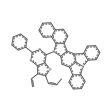 C=Cc1c(/C=C\C)oc2c(-n3c4cc5c6ccccc6n6c7ccccc7c(c4c4ccc7ccccc7c43)c56)nc(-c3ccccc3)nc12